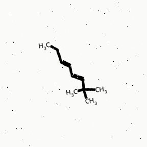 CCC=CC=CC(C)(C)C